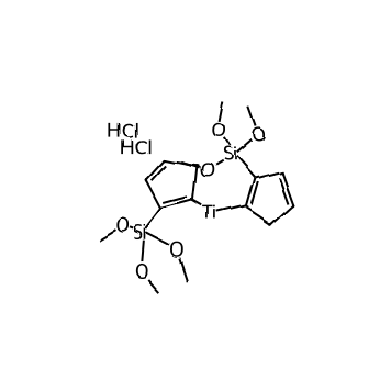 CO[Si](OC)(OC)C1=[C]([Ti][C]2=C([Si](OC)(OC)OC)C=CC2)CC=C1.Cl.Cl